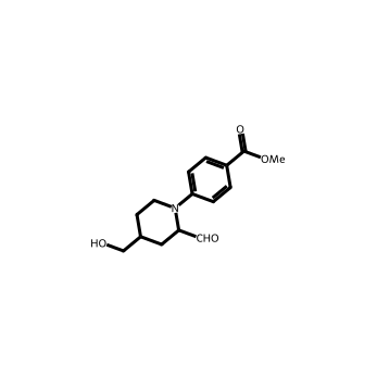 COC(=O)c1ccc(N2CCC(CO)CC2C=O)cc1